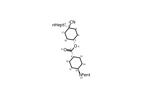 CCCCCCC[C@]1(C#N)CC[C@H](OC(=O)[C@H]2CC[C@H](CCCCC)CC2)CC1